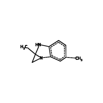 Cc1ccc2c(c1)N1CC1(C)N2